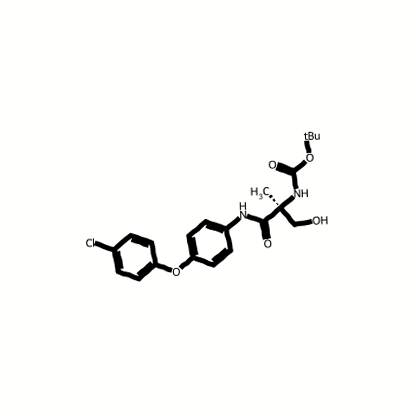 CC(C)(C)OC(=O)N[C@@](C)(CO)C(=O)Nc1ccc(Oc2ccc(Cl)cc2)cc1